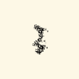 C[C@H]1CN(c2ncc(Cl)c(Nc3cc4c5c(c(=O)n(C)c4cc3F)OCC(F)(F)[C@H](C3CC3)N5)n2)CC[C@H]1CN1CCC(c2ccc3c(C4CCC(=O)NC4=O)nn(C)c3c2F)CC1